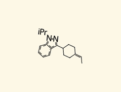 CC=C1CCC(c2nn(C(C)C)c3ccccc23)CC1